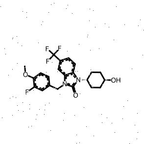 COc1ccc(Cn2c(=O)n([C@H]3CC[C@H](O)CC3)c3ccc(C(F)(F)F)cc32)cc1F